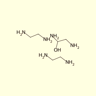 NCC(N)O.NCCN.NCCN